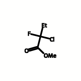 CCC(F)(Cl)C(=O)OC